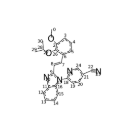 COc1cccc(/C=C/c2nc3ccccc3n2-c2ccc(C#N)cn2)c1OC(C)C